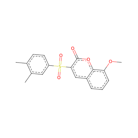 COc1cccc2cc(S(=O)(=O)c3ccc(C)c(C)c3)c(=O)oc12